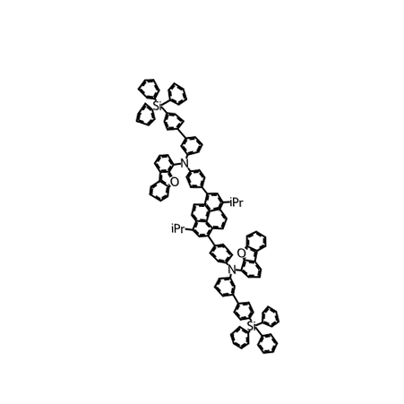 CC(C)c1cc(-c2ccc(N(c3cccc(-c4ccc([Si](c5ccccc5)(c5ccccc5)c5ccccc5)cc4)c3)c3cccc4c3oc3ccccc34)cc2)c2ccc3c(C(C)C)cc(-c4ccc(N(c5cccc(-c6ccc([Si](c7ccccc7)(c7ccccc7)c7ccccc7)cc6)c5)c5cccc6c5oc5ccccc56)cc4)c4ccc1c2c43